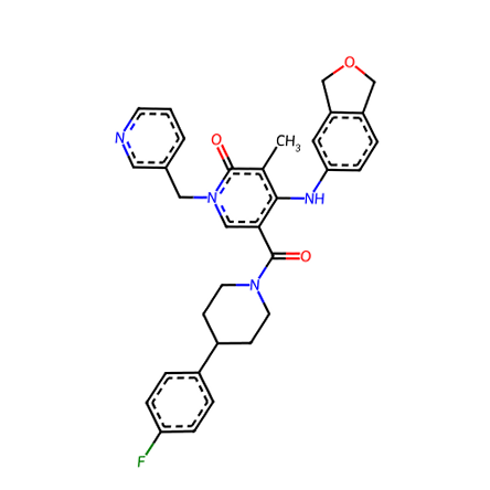 Cc1c(Nc2ccc3c(c2)COC3)c(C(=O)N2CCC(c3ccc(F)cc3)CC2)cn(Cc2cccnc2)c1=O